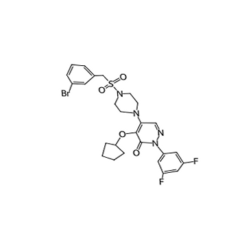 O=c1c(OC2CCCC2)c(N2CCN(S(=O)(=O)Cc3cccc(Br)c3)CC2)cnn1-c1cc(F)cc(F)c1